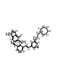 Cc1c(Nc2c(C#N)cncc2C=Cc2cncc(OCCN3CCCCCC3)c2)ccc2[nH]ccc12